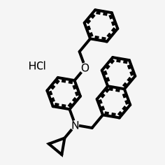 Cl.c1ccc(COc2cccc(N(Cc3ccc4ccccc4c3)C3CC3)c2)cc1